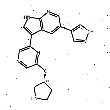 c1n[nH]cc1-c1cnc2[nH]cc(-c3cncc(O[C@@H]4CCNC4)n3)c2c1